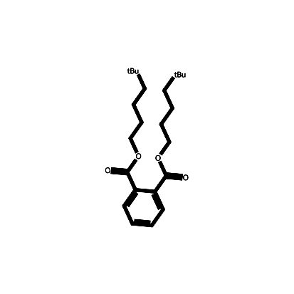 CC(C)(C)CCCCOC(=O)c1ccccc1C(=O)OCCCCC(C)(C)C